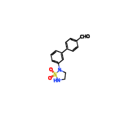 O=Cc1ccc(-c2cccc(N3CCNS3(=O)=O)c2)cc1